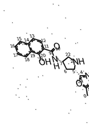 Cc1cnc([C@@H]2C[C@H](NC(=O)c3ccc4ccccc4c3O)CN2)o1